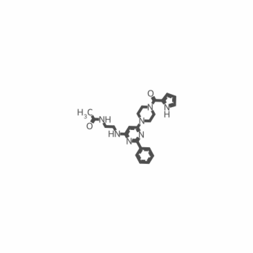 CC(=O)NCCNc1cc(N2CCN(C(=O)c3ccc[nH]3)CC2)nc(-c2ccccc2)n1